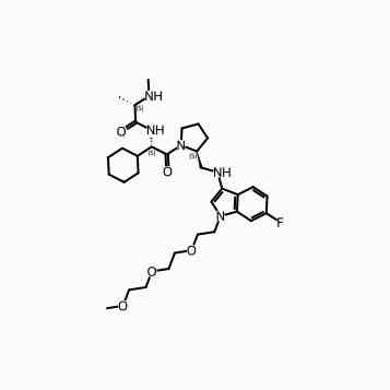 CN[C@@H](C)C(=O)N[C@H](C(=O)N1CCC[C@H]1CNc1cn(CCOCCOCCOC)c2cc(F)ccc12)C1CCCCC1